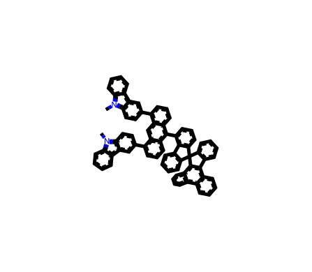 Cn1c2ccccc2c2cc(-c3cccc4c(-c5cccc6c5-c5ccccc5C65c6ccccc6-c6c5c5ccccc5c5ccccc65)c5cccc(-c6ccc7c(c6)c6ccccc6n7C)c5cc34)ccc21